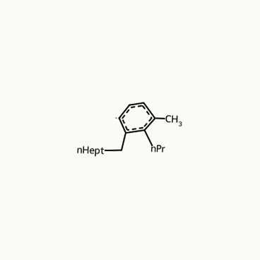 CCCCCCCCc1[c]ccc(C)c1CCC